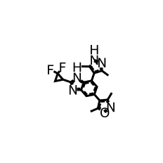 Cc1n[nH]c(C)c1-c1cc(-c2c(C)noc2C)cc2nc(C3CC3(F)F)[nH]c12